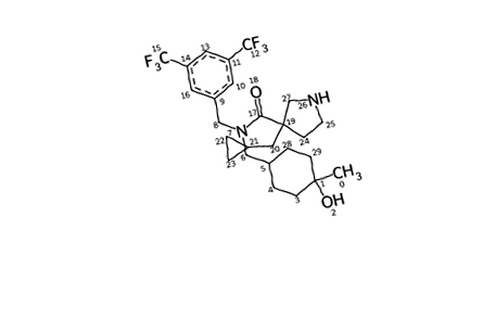 CC1(O)CCC(CN(Cc2cc(C(F)(F)F)cc(C(F)(F)F)c2)C(=O)C2(CC3CC3)CCNC2)CC1